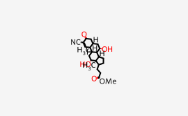 COC(=O)CCC1CC[C@H]2[C@@H]3[C@H](O)C[C@@H]4CC(=O)C(C#N)=C[C@]4(C)[C@H]3C[C@H](O)[C@]12C